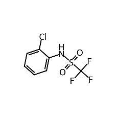 O=S(=O)(Nc1ccccc1Cl)C(F)(F)F